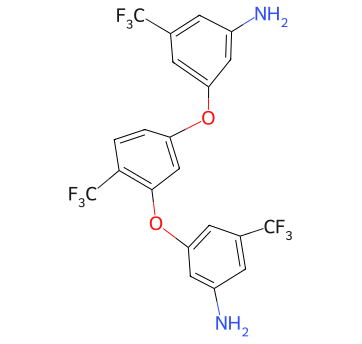 Nc1cc(Oc2ccc(C(F)(F)F)c(Oc3cc(N)cc(C(F)(F)F)c3)c2)cc(C(F)(F)F)c1